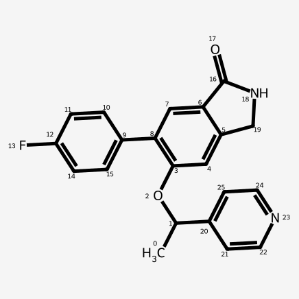 CC(Oc1cc2c(cc1-c1ccc(F)cc1)C(=O)NC2)c1ccncc1